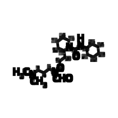 CN(C)CCCN(C=O)OCCC1CCCCN1C(=O)NC1CCCCC1